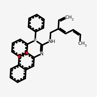 C=C/C(=C\C=C/C)CN/C(=N/c1ccc2ccccc2c1)P(c1ccccc1)c1ccccc1